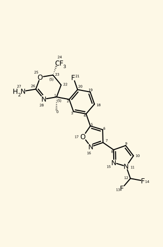 C[C@@]1(c2cc(-c3cc(-c4ccn(C(F)F)n4)no3)ccc2F)C[C@@H](C(F)(F)F)OC(N)=N1